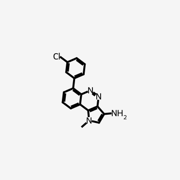 Cn1cc(N)c2nnc3c(-c4cccc(Cl)c4)cccc3c21